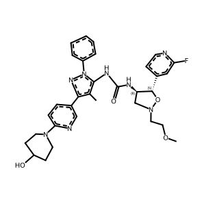 COCCN1C[C@@H](NC(=O)Nc2c(C)c(-c3ccc(N4CCC(O)CC4)nc3)nn2-c2ccccc2)[C@H](c2ccnc(F)c2)O1